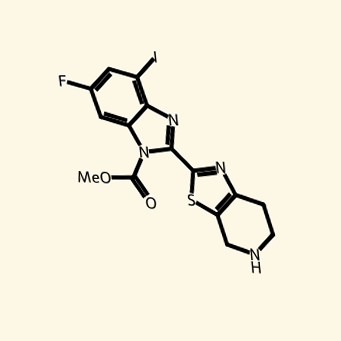 COC(=O)n1c(-c2nc3c(s2)CNCC3)nc2c(I)cc(F)cc21